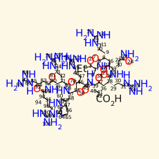 CCC(=O)[C@H](C)NC(=O)[C@H](CCCNC(=N)N)CC(=O)[C@H](CCC(N)=O)NC(=O)[C@H](CCCNC(=N)N)CC(=O)[C@H](CCC(=O)O)NC(=O)[C@H](CCCNC(=N)N)CC(=O)[C@H](Cc1c[nH]c2ccccc12)NC(=O)[C@H](CCCNC(=N)N)CC(=O)[C@H](CCCNC(=N)N)NC(=O)[C@@H](C)CCCNC(=N)N